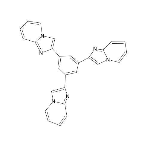 c1ccn2cc(-c3cc(-c4cn5ccccc5n4)cc(-c4cn5ccccc5n4)c3)nc2c1